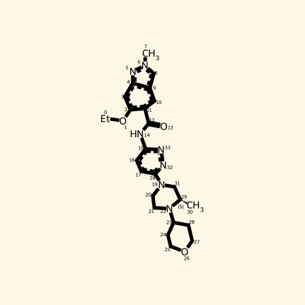 CCOc1cc2nn(C)cc2cc1C(=O)Nc1ccc(N2CCN(C3CCOCC3)[C@@H](C)C2)nn1